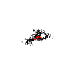 CC[C@H](C)[C@@H]1NC(=O)CNC(=O)[C@H]2Cc3c([nH]c4cc(OCc5ccc(NC(=O)[C@H](C)NC(=O)[C@@H](N)C(C)C)cc5)ccc34)[S+]([O-])CC(NC(=O)CNC1=O)C(=O)NC(CC(N)=O)C(=O)N1C[C@H](O)CC1(C=O)N[C@@H]([C@@H](C)[C@@H](O)CO)C(=O)N2